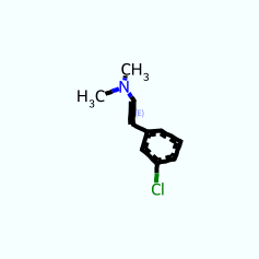 CN(C)/C=C/c1cccc(Cl)c1